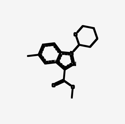 COC(=O)c1nn(C2CCCCO2)c2ccc(C)cc12